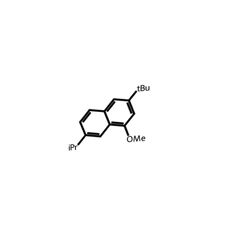 COc1cc(C(C)(C)C)cc2ccc(C(C)C)cc12